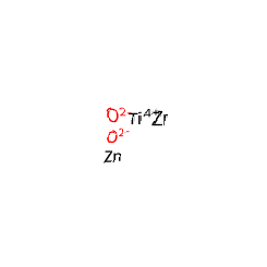 [O-2].[O-2].[Ti+4].[Zn].[Zr]